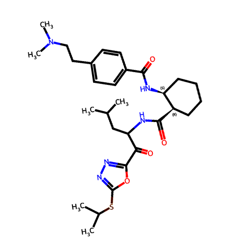 CC(C)CC(NC(=O)[C@@H]1CCCC[C@@H]1NC(=O)c1ccc(CCN(C)C)cc1)C(=O)c1nnc(SC(C)C)o1